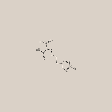 O=C(O)C(CCCCc1ccc(Cl)cc1)C(=O)O